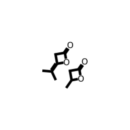 CC(C)=C1CC(=O)O1.CC1CC(=O)O1